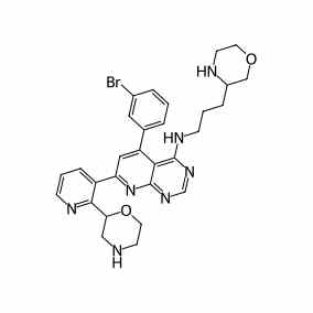 Brc1cccc(-c2cc(-c3cccnc3C3CNCCO3)nc3ncnc(NCCCC4COCCN4)c23)c1